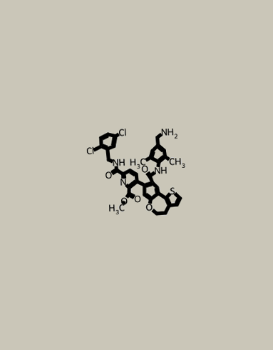 COC(=O)c1nc(C(=O)NCc2cc(Cl)ccc2Cl)ccc1-c1cc2c(cc1C(=O)Nc1c(C)cc(CN)cc1C)-c1sccc1CCO2